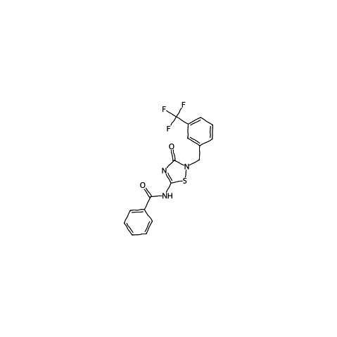 O=C(Nc1nc(=O)n(Cc2cccc(C(F)(F)F)c2)s1)c1ccccc1